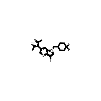 Cc1noc(C)c1-c1cnc2c(I)cn(CC3CCC(F)(F)CC3)c2c1